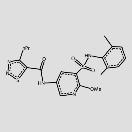 CCCc1nnsc1C(=O)Nc1cnc(OC)c(S(=O)(=O)Nc2c(C)cccc2C)c1